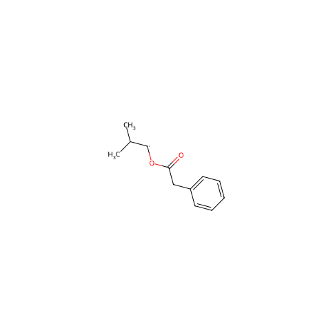 CC(C)[CH]OC(=O)Cc1ccccc1